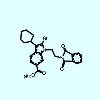 COC(=O)c1ccc2c(C3CCCCC3)c(Br)n(CCN3C(=O)c4ccccc4C3=O)c2c1